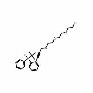 CC(C)(C)[Si](F)(c1ccccc1)c1ccccc1C#CCOCCOCCOCCO